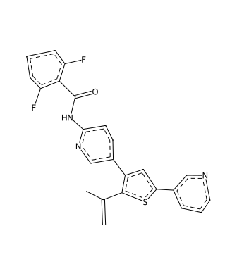 C=C(C)c1sc(-c2cccnc2)cc1-c1ccc(NC(=O)c2c(F)cccc2F)nc1